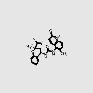 Cc1ccc2[nH]c(=O)ccc2c1NC(=O)N[C@@H]1C[C@@](C)(C(F)F)Oc2ccccc21